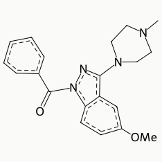 COc1ccc2c(c1)c(N1CCN(C)CC1)nn2C(=O)c1ccccc1